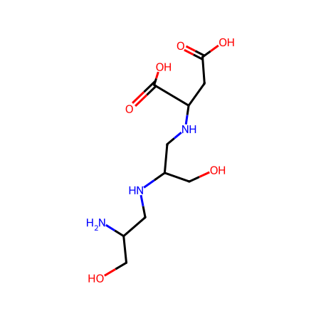 NC(CO)CNC(CO)CNC(CC(=O)O)C(=O)O